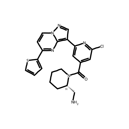 NC[C@@H]1CCCCN1C(=O)c1cc(Cl)nc(-c2cnn3ccc(-c4cccs4)nc23)c1